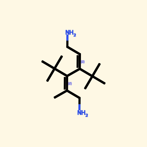 C/C(CN)=C(/C(=C\CN)C(C)(C)C)C(C)(C)C